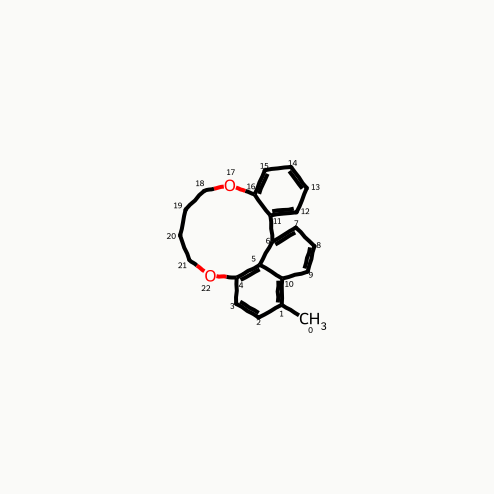 Cc1ccc2c3c(cccc13)-c1ccccc1OCCCCO2